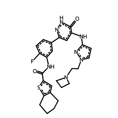 O=C(Nc1cc(-c2cc(Nc3ccn(CCN4CCC4)n3)c(=O)[nH]n2)ccc1F)c1cc2c(s1)CCCC2